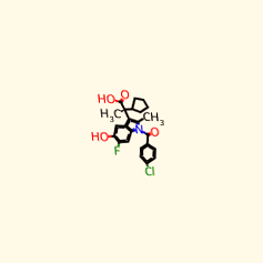 Cc1c([C@](C)(C(=O)O)C2CCCC2)c2cc(O)c(F)cc2n1C(=O)c1ccc(Cl)cc1